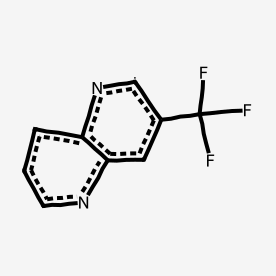 FC(F)(F)c1[c]nc2cccnc2c1